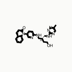 Cc1cnc(NC[C@H](CCO)CNc2ccc(-n3c(=O)ccc4ccccc43)cn2)nn1